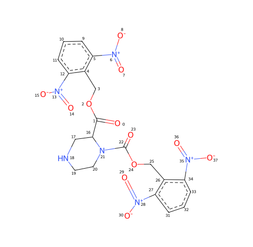 O=C(OCc1c([N+](=O)[O-])cccc1[N+](=O)[O-])C1CNCCN1C(=O)OCc1c([N+](=O)[O-])cccc1[N+](=O)[O-]